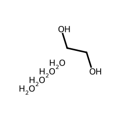 O.O.O.O.OCCO